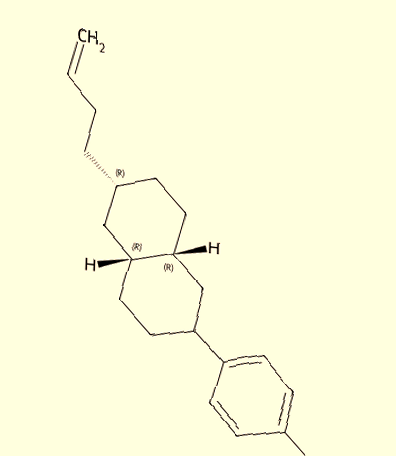 C=CCC[C@@H]1CC[C@@H]2CC(c3ccc(F)cc3)CC[C@@H]2C1